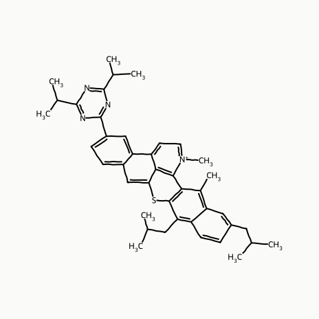 Cc1c2c(c(CC(C)C)c3ccc(CC(C)C)cc13)Sc1cc3ccc(-c4nc(C(C)C)nc(C(C)C)n4)cc3c3cc[n+](C)c-2c13